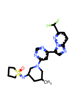 CC1CC(N=S2(=O)CCCC2)CN(c2cc(-c3cnc4ccc(C(F)F)nn34)ncn2)C1